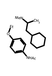 CCOc1ccc(NC(C)=O)cc1.CNC(C)CC1CCCCC1